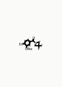 CCc1ccc(C(=O)N2CC(F)(F)C2)cc1OC